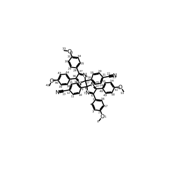 COc1ccc(C2=NC(c3ccc(C#N)cc3)(C3(c4ccc(C#N)cc4)N=C(c4ccc(OC)cc4)C(c4ccc(OC)cc4)=N3)N=C2c2ccc(OC)cc2)cc1